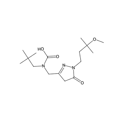 COC(C)(C)CCN1N=C(CN(CC(C)(C)C)C(=O)O)CC1=O